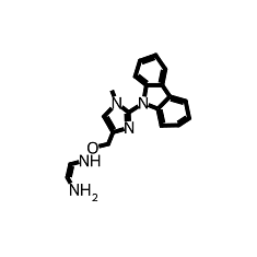 Cn1cc(CON/C=C\N)nc1-n1c2ccccc2c2ccccc21